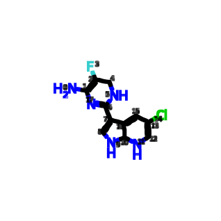 NC1=C(F)CNC(C2=CNC3NC=C(Cl)C=C23)=N1